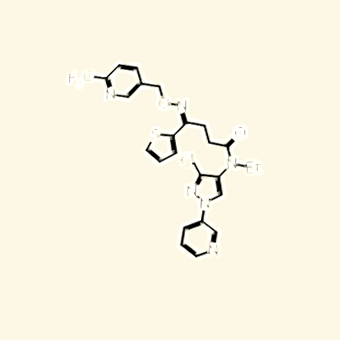 CCN(C(=O)CCC(=NOCc1ccc(C(F)(F)F)nc1)c1cccs1)c1cn(-c2cccnc2)nc1Cl